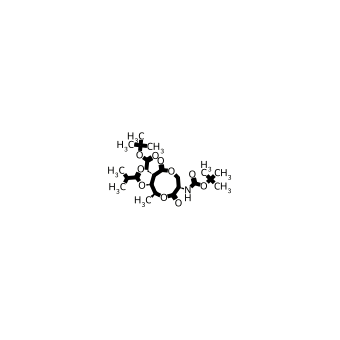 CC(C)C(=O)O[C@H]1[C@H](C)OC(=O)[C@@H](NC(=O)OC(C)(C)C)COC(=O)[C@H]1CC(=O)OC(C)(C)C